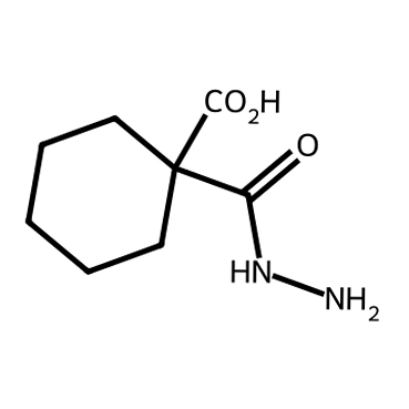 NNC(=O)C1(C(=O)O)CCCCC1